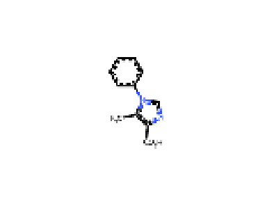 O=C(O)c1ncn(-c2ccccc2)c1C(F)(F)F